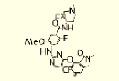 COc1cc(C(=O)NC2CCN(C)C[C@H]2F)c(F)cc1Nc1ncc(C(F)(F)F)c(Oc2cccc3c2C(=O)N(C)C3)n1